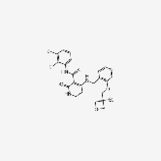 CCC1(COc2cnccc2CNC2=C(C(=S)Nc3cccc(Cl)c3Cl)C(=O)NCC2)COC1